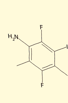 Cc1c(N)c(F)c(I)c(C)c1F